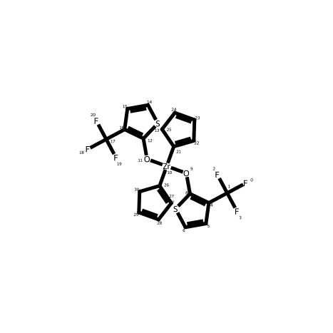 FC(F)(F)c1ccsc1[O][Zr]([O]c1sccc1C(F)(F)F)([C]1=CC=CC1)[C]1=CC=CC1